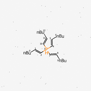 CCCCC=C[PH](C=CCCCC)(C=CCCCC)C=CCCCC